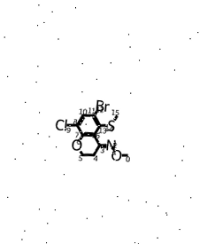 CON=C1CCOc2c(Cl)cc(Br)c(SC)c21